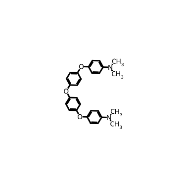 CN(C)c1ccc(Oc2ccc(Oc3ccc(Oc4ccc(N(C)C)cc4)cc3)cc2)cc1